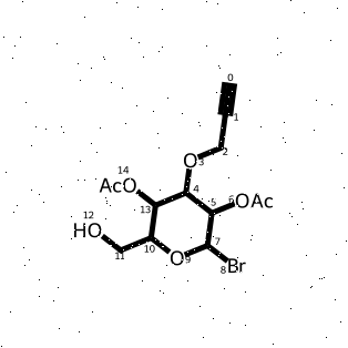 C#CCOC1C(OC(C)=O)C(Br)OC(CO)C1OC(C)=O